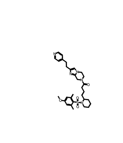 COc1cc(C)c(S(=O)(=O)N2CCCCC2CCCC(=O)N2CCn3cc(CCc4ccncc4)nc3C2)c(C)c1